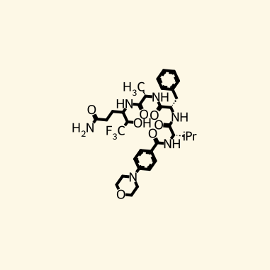 CC(C)[C@H](NC(=O)c1ccc(N2CCOCC2)cc1)C(=O)N[C@@H](Cc1ccccc1)C(=O)N[C@@H](C)C(=O)NC(CCC(N)=O)C(O)C(F)(F)F